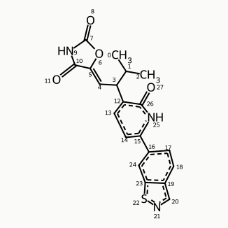 CC(C)C(/C=C1\OC(=O)NC1=O)c1ccc(-c2ccc3cnsc3c2)[nH]c1=O